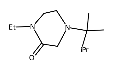 CCN1CCN(C(C)(C)C(C)C)CC1=O